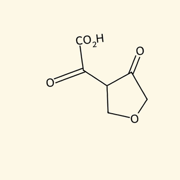 O=C(O)C(=O)C1COCC1=O